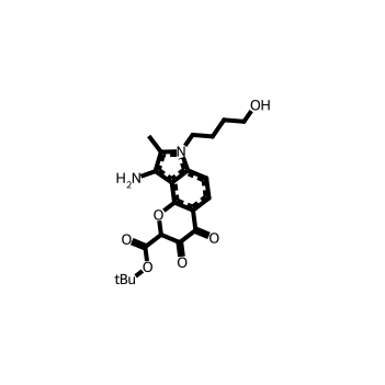 Cc1c(N)c2c3c(ccc2n1CCCCO)C(=O)C(=O)C(C(=O)OC(C)(C)C)O3